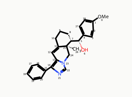 COc1ccc([C@H](O)[C@H]2CCCC3=Cc4c(-c5ccccc5)ncn4C[C@@]32C)cc1